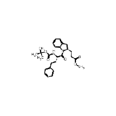 COC(=O)CC[C@@H]1Cc2ccccc2N1C(=O)[C@H](CCc1ccccc1)NC(=O)OC(C)(C)C